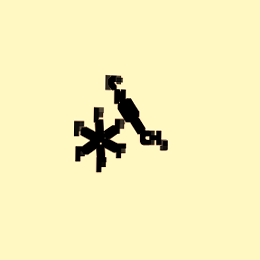 CC#N.F[P-](F)(F)(F)(F)F.[K+]